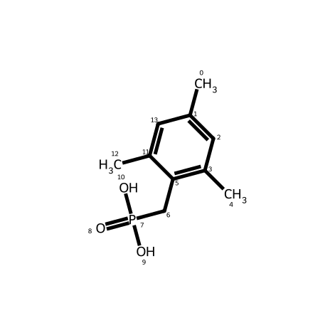 Cc1cc(C)c(CP(=O)(O)O)c(C)c1